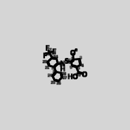 COc1ccc(C(=O)O)cc1SNc1cc(C(F)(F)F)ccc1-c1ccccc1